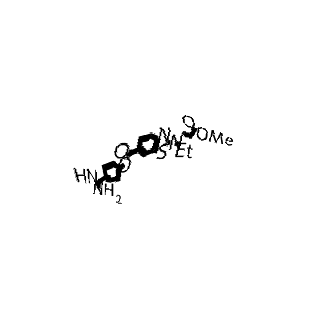 CCN(CCC(=O)OC)c1nc2ccc(C(=O)Oc3ccc(C(=N)N)cc3)cc2s1